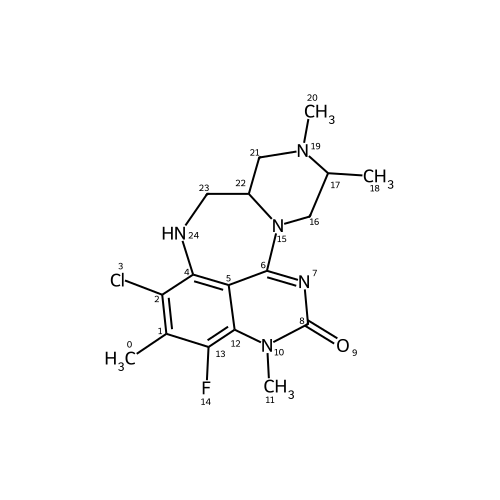 Cc1c(Cl)c2c3c(nc(=O)n(C)c3c1F)N1CC(C)N(C)CC1CN2